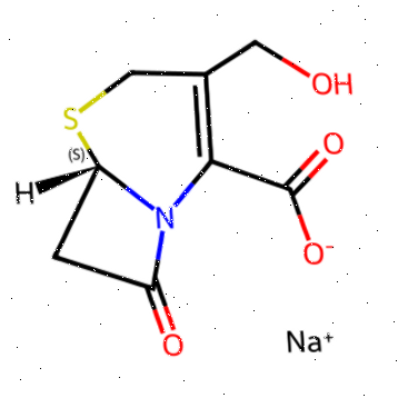 O=C([O-])C1=C(CO)CS[C@H]2CC(=O)N12.[Na+]